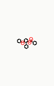 O=C(Oc1cccc(Oc2ccccc2)c1-c1ccccc1)c1ccccc1